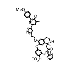 COc1ccc(-n2nc(-c3cn(CCOc4cc5c(cc4Oc4ccc(C(=O)O)c(F)c4)[C@@](C)(CC(=O)Nc4nccs4)NCC5)nn3)cc(C)c2=O)cc1